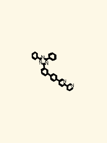 c1ccc(-c2nc(-c3ccccc3)nc(-c3cccc(-c4ccc(-c5ccc(-c6cccnc6)nc5)cc4)c3)n2)cc1